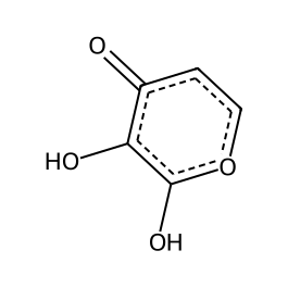 O=c1ccoc(O)c1O